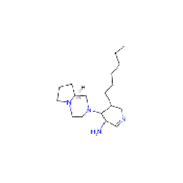 CCCCCCC1CN=CC(N)C1N1CCN2CCC[C@H]2C1